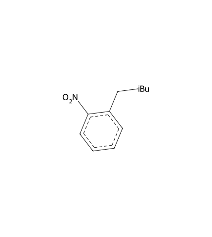 CCC(C)Cc1ccccc1[N+](=O)[O-]